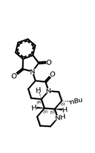 CCCC[C@H]1CN2C(=O)C(N3C(=O)c4ccccc4C3=O)CC[C@@H]2[C@H]2CCCN[C@@H]12